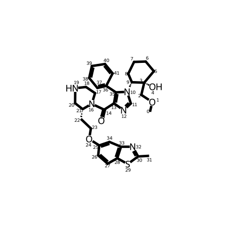 COC[C@]1(O)CCCC[C@H]1n1cnc(C(=O)N2CCNC[C@H]2CCOc2ccc3sc(C)nc3c2)c1-c1ccccc1